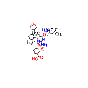 Cc1cccc(CC2CCOCC2)c1-c1nc(NS(=O)(=O)c2cccc(C(=O)O)c2)nc(OC[C@H](N)CC(C)(C)C)c1C